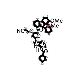 COc1cccc(C(OC[C@H]2O[C@@H](n3cnc4c(NC(=O)c5ccccc5)ncnc43)C[C@@H]2OCCC#N)(c2ccccc2)c2ccccc2)c1OC